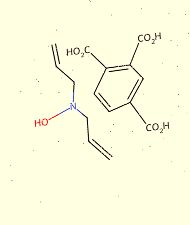 C=CCN(O)CC=C.O=C(O)c1ccc(C(=O)O)c(C(=O)O)c1